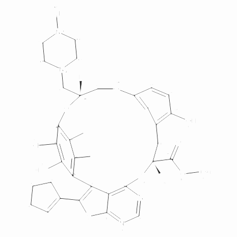 Cc1c(Cl)c2c(Cl)c(C)c1-c1c(C3=CCCC3)sc3ncnc(c13)O[C@@H](C(=O)OC(C)(C)C)Cc1cc(ccc1O)OC[C@@H](CN1CCN(C)CC1)O2